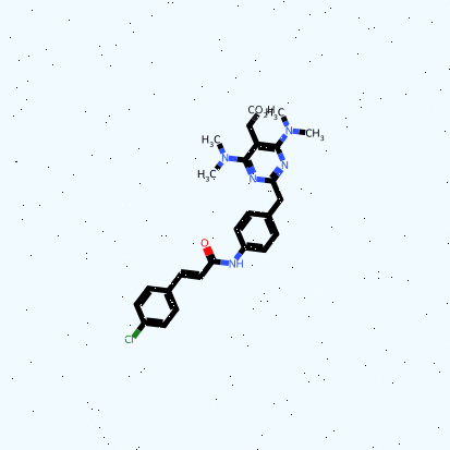 CN(C)c1nc(Cc2ccc(NC(=O)/C=C/c3ccc(Cl)cc3)cc2)nc(N(C)C)c1CC(=O)O